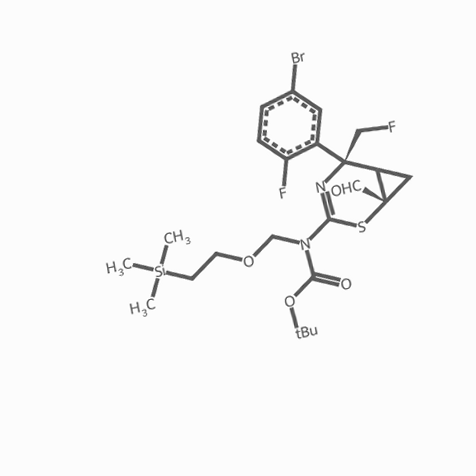 CC(C)(C)OC(=O)N(COCC[Si](C)(C)C)C1=N[C@](CF)(c2cc(Br)ccc2F)C2C[C@]2(C=O)S1